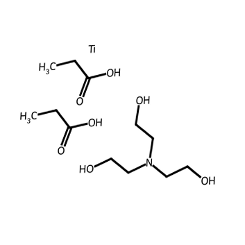 CCC(=O)O.CCC(=O)O.OCCN(CCO)CCO.[Ti]